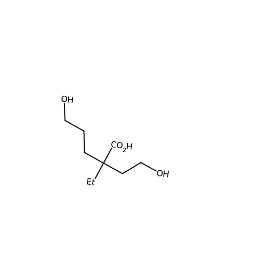 CCC(CCO)(CCCO)C(=O)O